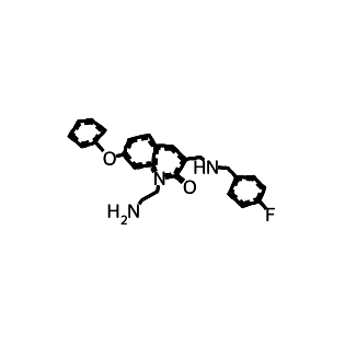 NCCn1c(=O)c(CNCc2ccc(F)cc2)cc2ccc(Oc3ccccc3)cc21